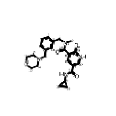 CN(Cc1cccc(CN2CCOCC2)c1)C(=O)c1cc(C(=O)NC2CC2)c[nH]c1=O